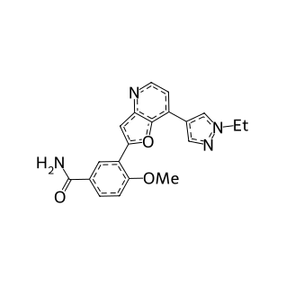 CCn1cc(-c2ccnc3cc(-c4cc(C(N)=O)ccc4OC)oc23)cn1